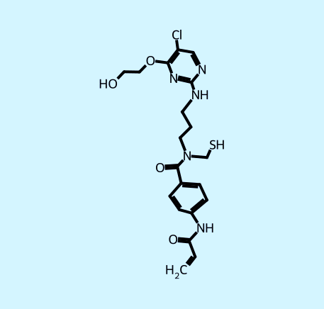 C=CC(=O)Nc1ccc(C(=O)N(CS)CCCNc2ncc(Cl)c(OCCO)n2)cc1